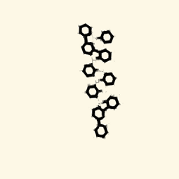 c1ccc(-n2c3ccccc3c3ccc4c(c5ccccc5n4-c4cccc5c4Oc4cccc6c4B5c4cccc(-n5c7ccccc7c7c8oc9ccccc9c8ccc75)c4O6)c32)cc1